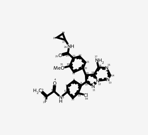 C=C(F)C(=O)Nc1ccc(-c2nn3ncnc(N)c3c2-c2ccc(C(=O)NC3CC3)c(OC)c2)c(Cl)c1